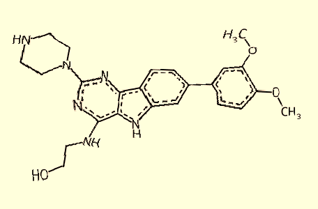 COc1ccc(-c2ccc3c(c2)[nH]c2c(NCCO)nc(N4CCNCC4)nc23)cc1OC